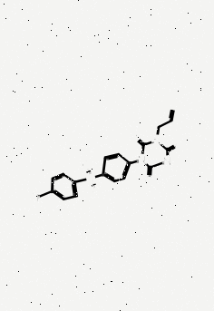 C=CCn1c(=O)[nH]c(=O)n(-c2ccc(S(=O)(=O)c3ccc(Cl)cc3)cc2)c1=O